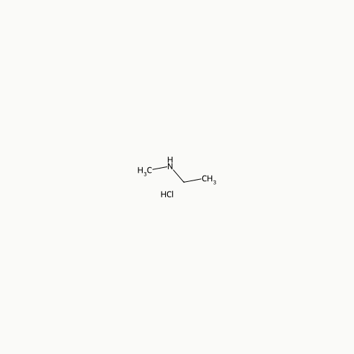 CCNC.Cl